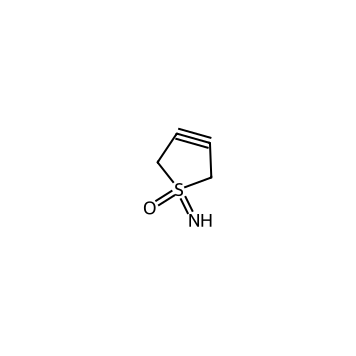 N=S1(=O)CC#CC1